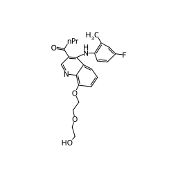 CCCC(=O)c1cnc2c(OCCOCCO)cccc2c1Nc1ccc(F)cc1C